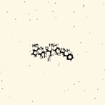 N[C@@H](Cc1ccccc1)C(=O)N[C@@H](CO)C(=O)N[C@@H](CS)C(=O)NCC(=O)N1CCC[C@H]1C(=O)O